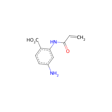 C=CC(=O)Nc1cc(N)ccc1C(=O)O